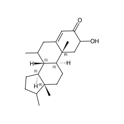 CC1CC2=CC(=O)C(O)C[C@]2(C)[C@H]2CC[C@]3(C)C(C)CC[C@H]3[C@H]12